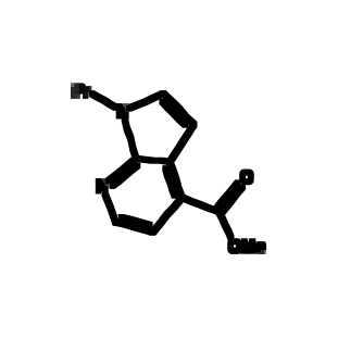 COC(=O)c1ccnc2c1ccn2C(C)C